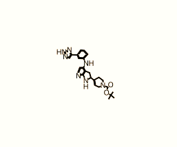 CC(C)(C)OC(=O)N1CC=C(C2Cc3c(Nc4cccc(-c5cn[nH]n5)c4)ccnc3N2)CC1